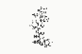 CC(C)(C=C(C#N)C(=O)N1CCCC[C@@H]1COC(=O)NC(Cc1ccccc1)B(O)O)N1CCCC1